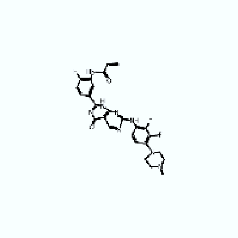 C=CC(=O)Nc1cc(-c2nc(=O)c3cnc(Nc4ccc(N5CCN(C)CC5)c(F)c4F)nc3[nH]2)ccc1F